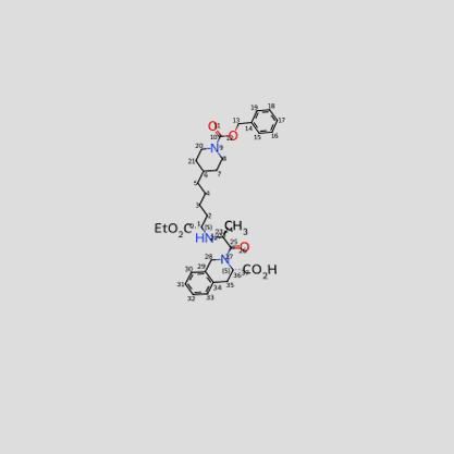 CCOC(=O)[C@H](CCCCC1CCN(C(=O)OCc2ccccc2)CC1)N[C@@H](C)C(=O)N1Cc2ccccc2C[C@H]1C(=O)O